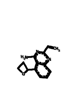 C=Cc1nc(N)c2c(C3CCO3)cccc2n1